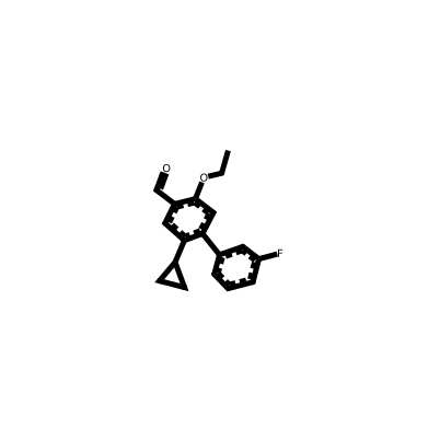 CCOc1cc(-c2cccc(F)c2)c(C2CC2)cc1C=O